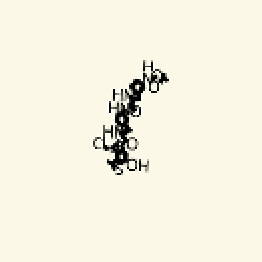 Cc1csc2c(O)cc3c(c12)[C@H](CCl)CN3C(=O)c1cc2cc(NC(=O)c3cc4cc(NC(=O)OC(C)(C)C)ccc4[nH]3)ccc2[nH]1